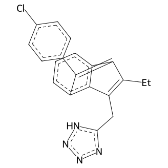 CCC1=C(Cc2nnn[nH]2)c2c3cccc2C(c2ccc(Cl)cc2)=C13